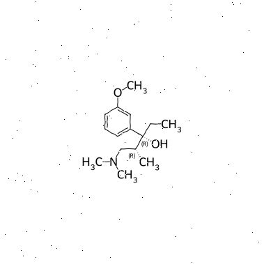 CC[C@](O)(c1cccc(OC)c1)[C@H](C)CN(C)C